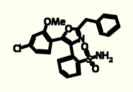 COc1cc(Cl)ccc1-c1oc(Cc2ccccc2)nc1-c1ccccc1S(N)(=O)=O